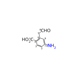 Nc1ccc(C(=O)O)c(CC=O)c1